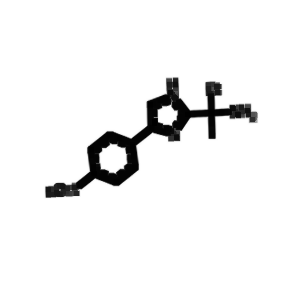 CCCCCCCCc1ccc(-c2c[nH]c(C(C)(N)CC)n2)cc1